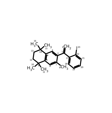 C=C(c1cc2c(cc1C)C(C)(C)CCC2(C)C)c1ccccc1I